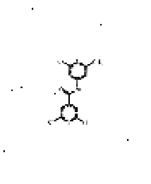 Cc1cc(NC(=O)c2cc(Cl)nc(Cl)c2)nc(Cl)n1